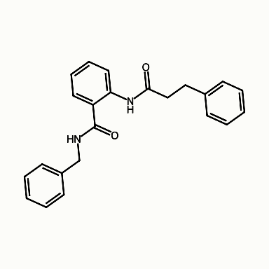 O=C(CCc1ccccc1)Nc1ccccc1C(=O)NCc1ccccc1